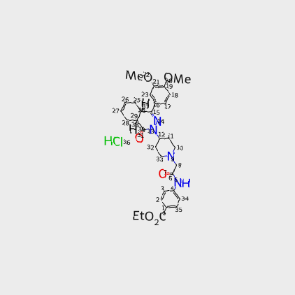 CCOC(=O)c1ccc(NC(=O)CN2CCC(N3N=C(c4ccc(OC)c(OC)c4)[C@H]4CC=CC[C@H]4C3=O)CC2)cc1.Cl